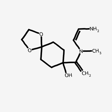 C=C(N(C)/C=C\N)C1(O)CCC2(CC1)OCCO2